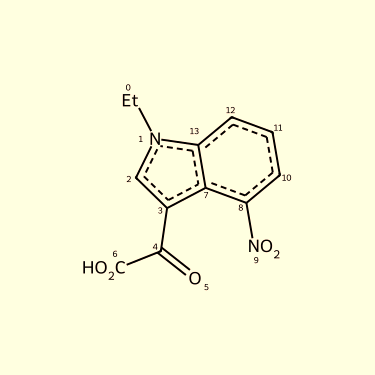 CCn1cc(C(=O)C(=O)O)c2c([N+](=O)[O-])cccc21